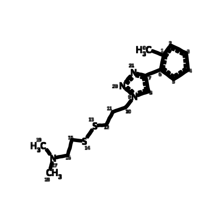 Cc1ccccc1-c1cn(CCCSSCCN(C)C)nn1